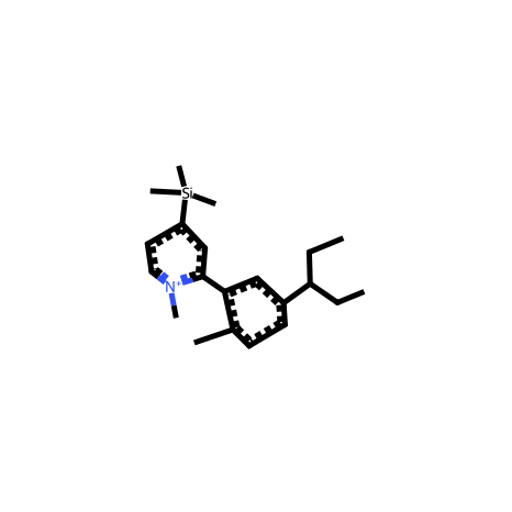 CCC(CC)c1ccc(C)c(-c2cc([Si](C)(C)C)cc[n+]2C)c1